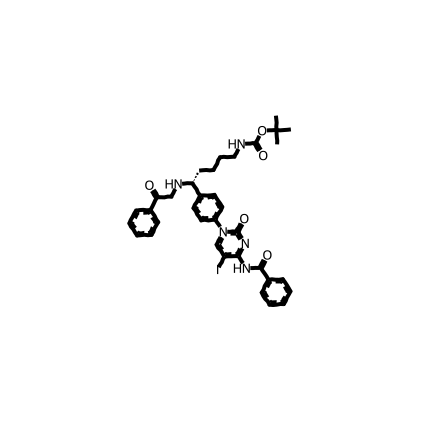 CC(C)(C)OC(=O)NCCCC[C@@H](NCC(=O)c1ccccc1)c1ccc(-n2cc(I)c(NC(=O)c3ccccc3)nc2=O)cc1